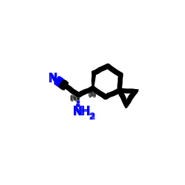 N#C[C@@H](N)[C@H]1CCCC2(CC2)C1